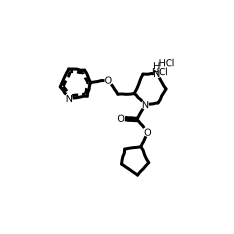 Cl.Cl.O=C(OC1CCCC1)N1CCNCC1COc1cccnc1